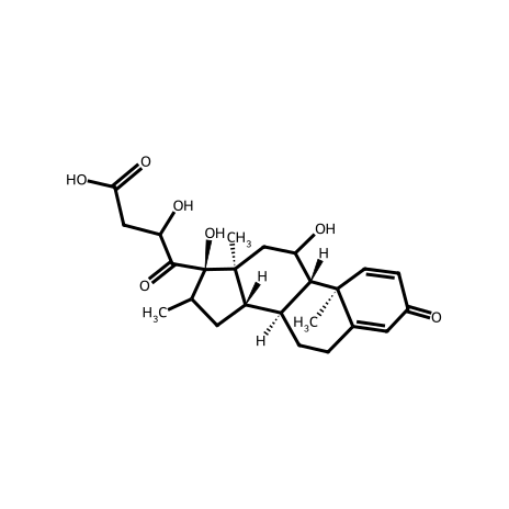 CC1C[C@H]2[C@@H]3CCC4=CC(=O)C=C[C@]4(C)[C@H]3C(O)C[C@]2(C)[C@@]1(O)C(=O)C(O)CC(=O)O